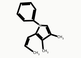 C/C=C\c1c(C)c(C)cn1-c1ccccc1